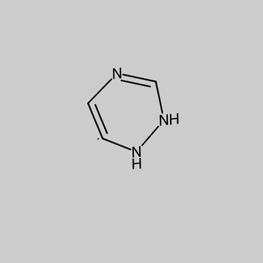 [C]1=CN=CNN1